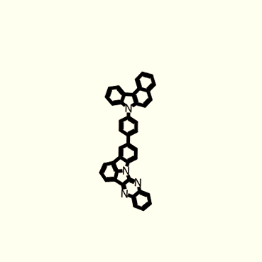 c1ccc2c(c1)ccc1c2c2ccccc2n1-c1ccc(-c2ccc3c(c2)c2cccc4c5nc6ccccc6nc5n3c24)cc1